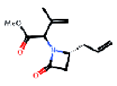 C=CC[C@@H]1CC(=O)N1C(C(=C)C)C(=O)OC